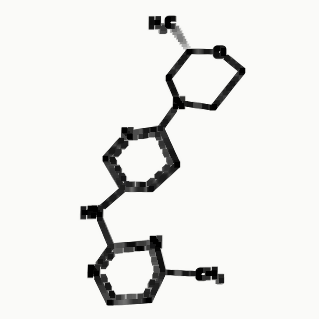 Cc1ccnc(Nc2ccc(N3CCO[C@@H](C)C3)nc2)n1